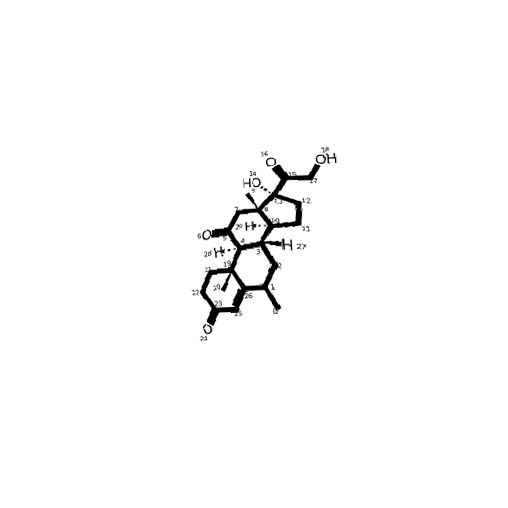 CC1C[C@@H]2[C@H](C(=O)C[C@@]3(C)[C@H]2CC[C@]3(O)C(=O)CO)[C@@]2(C)CCC(=O)C=C12